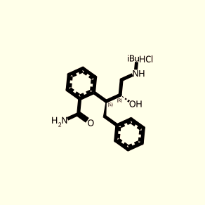 CCC(C)NC[C@H](O)[C@@H](Cc1ccccc1)c1ccccc1C(N)=O.Cl